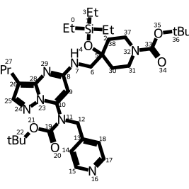 CC[Si](CC)(CC)OC1(CNc2cc(N(Cc3ccncc3)C(=O)OC(C)(C)C)n3ncc(C(C)C)c3n2)CCN(C(=O)OC(C)(C)C)CC1